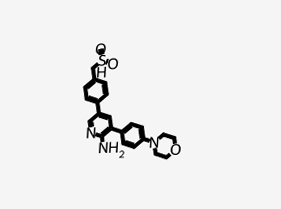 Nc1ncc(-c2ccc(C[SH](=O)=O)cc2)cc1-c1ccc(N2CCOCC2)cc1